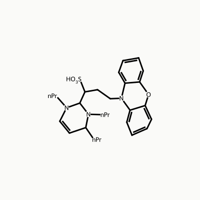 CCCC1C=CN(CCC)C(C(CCN2c3ccccc3Oc3ccccc32)S(=O)(=O)O)N1CCC